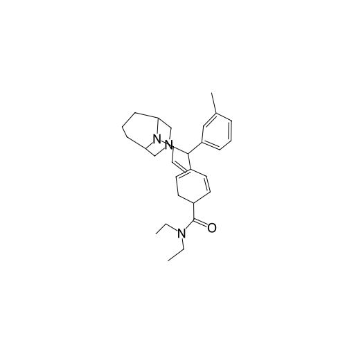 C=CCN1C2CCCC1CN(C(C1=CCC(C(=O)N(CC)CC)C=C1)c1cccc(C)c1)C2